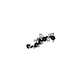 COc1ccc(F)cc1C(=O)NCc1ccc(-c2ncc(-c3ccc(OCCN4CCCC4)cn3)c3[nH]nc(N)c23)cc1